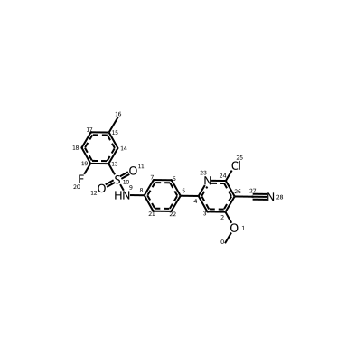 COc1cc(-c2ccc(NS(=O)(=O)c3cc(C)ccc3F)cc2)nc(Cl)c1C#N